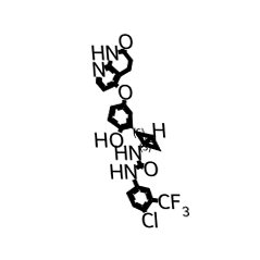 O=C1CCc2c(Oc3ccc(O)c([C@@H]4[C@@H]5C[C@@]45NC(=O)Nc4ccc(Cl)c(C(F)(F)F)c4)c3)ccnc2N1